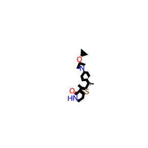 Cc1c([C@H](C)[C@H]2CC[C@H](N3CC(OC4CC4)C3)CC2)sc2c1C(=O)NCC2